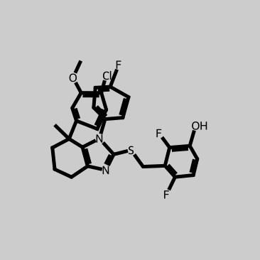 COc1cc(C2(C)CCCc3nc(SCc4c(F)ccc(O)c4F)n(-c4ccc(F)cc4)c32)ccc1Cl